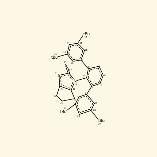 CC(C)(C)c1cc(-c2cccc(-c3cc(C(C)(C)C)cc(C(C)(C)C)c3)c2-n2c3c(sc2=S)CCC3)cc(C(C)(C)C)c1